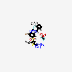 CSc1sc(C(=N)N)cc1S(=O)(=O)c1cc(Br)c2ncn(Cc3cccc([N+](=O)[O-])c3F)c2c1.O=C(O)C(F)(F)F